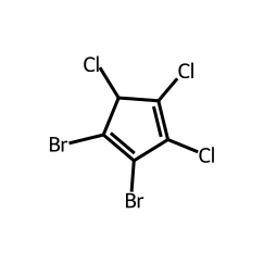 ClC1=C(Cl)C(Cl)C(Br)=C1Br